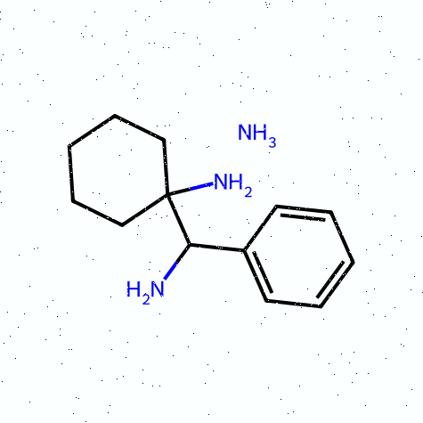 N.NC(c1ccccc1)C1(N)CCCCC1